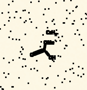 COS(=O)O.[CaH2]